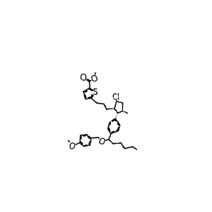 CCCCCC(OCc1ccc(OC)cc1)c1ccc([C@@H]2[C@@H](CCCc3ccc(C(=O)OC)s3)[C@H](Cl)C[C@H]2C)cc1